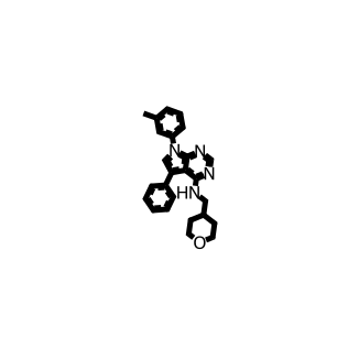 Cc1cccc(-n2cc(-c3ccccc3)c3c(NCC4CCOCC4)ncnc32)c1